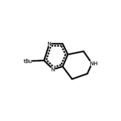 CC(C)(C)c1ncc2c(n1)CCNC2